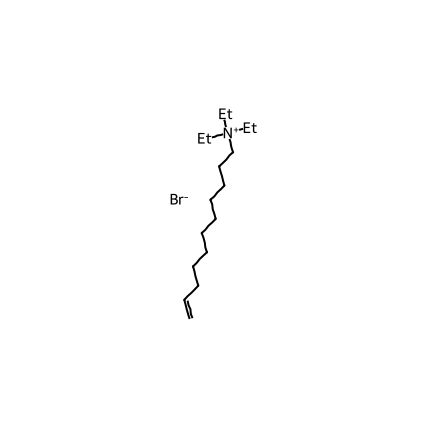 C=CCCCCCCCCC[N+](CC)(CC)CC.[Br-]